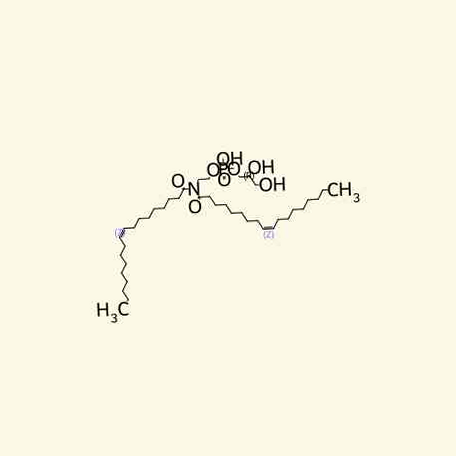 CCCCCCCC/C=C\CCCCCCCC(=O)N(CCOP(=O)(O)OC[C@H](O)CO)C(=O)CCCCCCC/C=C\CCCCCCCC